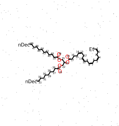 CC/C=C\C/C=C\C/C=C\C/C=C\C/C=C\CCCC(=O)OC(COC(=O)CCCCCCCCCCCCCCCCCC)COC(=O)CCCCCCCCCCCCCCCCCCCC